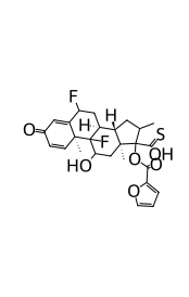 CC1C[C@H]2[C@@H]3CC(F)C4=CC(=O)C=C[C@]4(C)C3(F)C(O)C[C@]2(C)C1(OC(=O)c1ccco1)C(O)=S